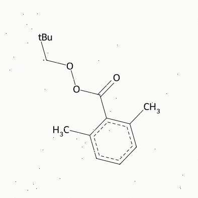 Cc1cccc(C)c1C(=O)OO[CH]C(C)(C)C